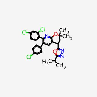 CC(C)c1nnc(C2CC(C)(C)Oc3nc(-c4ccc(Cl)cc4Cl)c(-c4ccc(Cl)cc4)cc32)o1